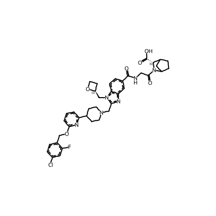 O=C(NCC(=O)N1C2CCC(C2)[C@H]1C(=O)O)c1ccc2c(c1)nc(CN1CCC(c3cccc(OCc4ccc(Cl)cc4F)n3)CC1)n2C[C@@H]1CCO1